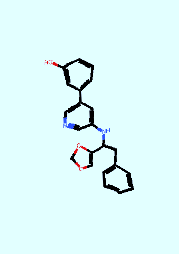 Oc1cccc(-c2cncc(NC(Cc3ccccc3)C3=COCO3)c2)c1